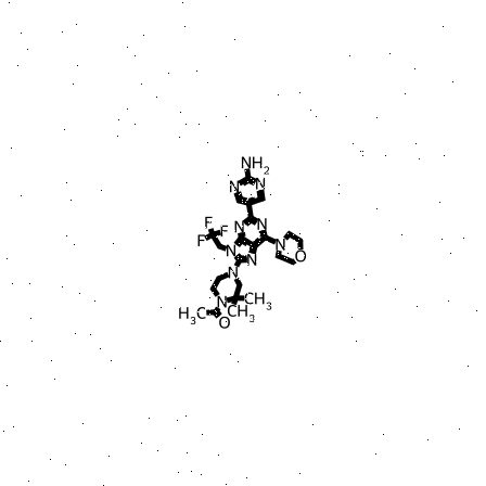 CC(=O)N1CCN(c2nc3c(N4CCOCC4)nc(-c4cnc(N)nc4)nc3n2CC(F)(F)F)CC1(C)C